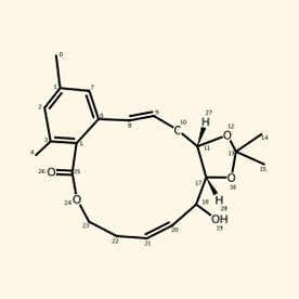 Cc1cc(C)c2c(c1)/C=C/C[C@@H]1OC(C)(C)O[C@@H]1C(O)/C=C\CCOC2=O